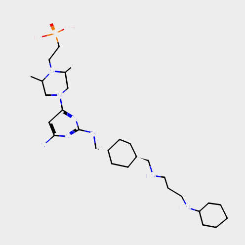 CC1CN(c2cc(N)nc(NC[C@H]3CC[C@H](CNCCCNC4CCCCC4)CC3)n2)CC(C)N1CCP(=O)(O)O